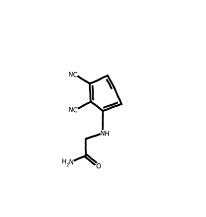 N#Cc1cccc(NCC(N)=O)c1C#N